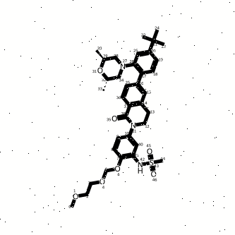 COCCOCOc1ccc(N2CCc3cc(-c4ccc(C(C)(C)C)cc4N4C[C@H](C)O[C@@H](C)C4)ccc3C2=O)cc1NS(C)(=O)=O